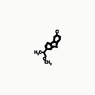 COCC(C)c1ccc2c(c1)sc1ccc(Cl)cc12